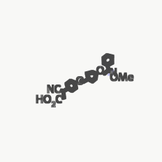 CO/N=C(\COc1ccc(COc2ccc(C(C#N)CC(=O)O)cc2)cc1)c1ccccc1